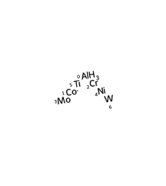 [AlH3].[Co].[Cr].[Mo].[Ni].[Ti].[W]